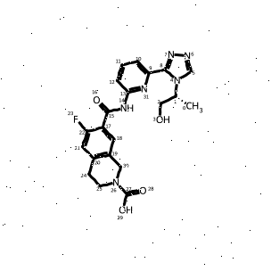 C[C@H](CO)n1cnnc1-c1cccc(NC(=O)c2cc3c(cc2F)CCN(C(=O)O)C3)n1